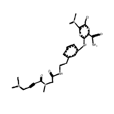 CCc1nc(C(N)=O)c(Nc2cccc(CCNC(=O)CN(C)C(=O)C#CCN(C)C)c2)nc1N(C)C